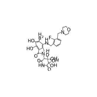 Bc1c(O)c(O)c2c(c1NCc1cccc(CN3CCOCC3)c1F)CN(C1C(=O)NC(=O)C(O)(O)C1(O)O)C2=O